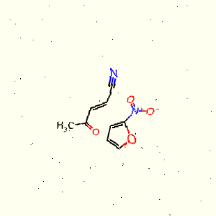 CC(=O)/C=C/C#N.O=[N+]([O-])c1ccco1